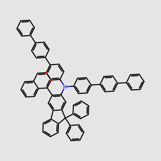 c1ccc(-c2ccc(-c3ccc(N(c4ccc(-c5ccc(-c6ccccc6)cc5)cc4)c4cc5c(cc4-c4cccc6ccccc46)-c4ccccc4C5(c4ccccc4)c4ccccc4)cc3)cc2)cc1